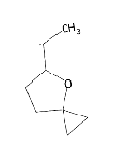 C[CH]C1CCC2(CC2)O1